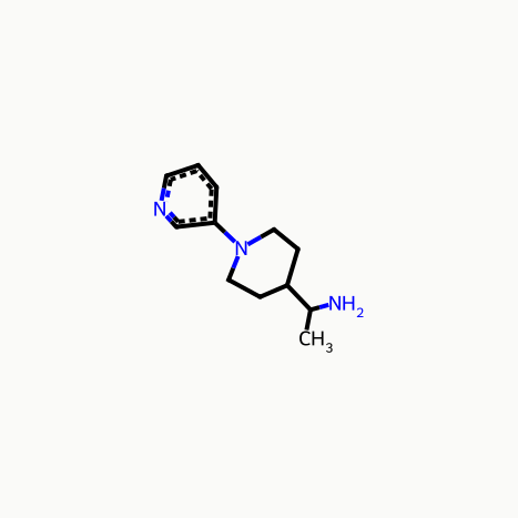 CC(N)C1CCN(c2cccnc2)CC1